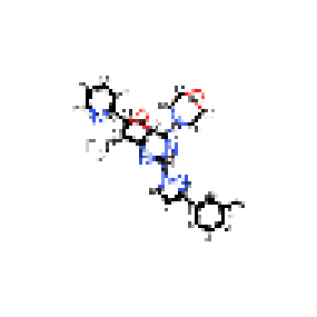 Cc1cccc(-c2ccn(-c3nc(N4CCOCC4)c4oc(-c5ccccn5)c(C(F)(F)F)c4n3)n2)c1